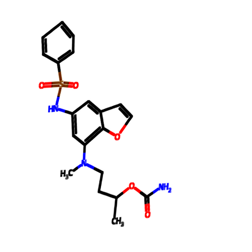 CC(CCN(C)c1cc(NS(=O)(=O)c2ccccc2)cc2ccoc12)OC(N)=O